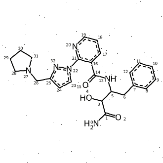 NC(=O)C(O)C(Cc1ccccc1)NC(=O)c1cccnc1-n1ccc(CN2CCCC2)n1